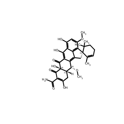 COc1cc(O)c2c(O)c3c(c4c2c1[C@]1(C4)C(C)=CCCC1(C)C)[C@H](OC)[C@@H]1CC(O)=C(C(N)=O)C(=O)[C@]1(O)C3=O